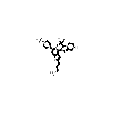 CCCCc1cc2c(N3N=C4CNCCN4C3C(F)(F)F)nc(N3CCN(C)CC3)nc2s1